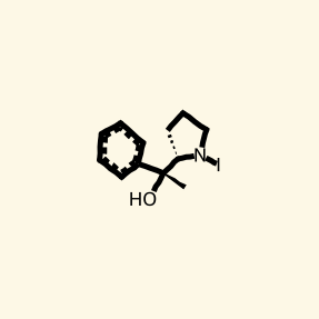 C[C@@](O)(c1ccccc1)[C@@H]1CCCN1I